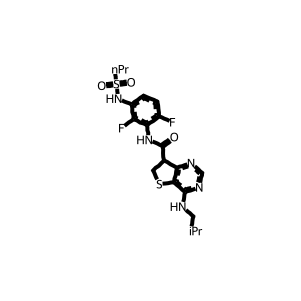 CCCS(=O)(=O)Nc1ccc(F)c(NC(=O)C2CSc3c(NCC(C)C)ncnc32)c1F